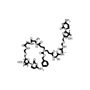 CC(C)[C@H](NC(=O)CCN(CCC(=O)N[C@H](C(=O)N[C@@H](C)C(=O)NCOC[C@H]1O[C@@H](n2ccc(N)nc2=O)C(F)(F)[C@@H]1O)C(C)C)C(=O)OCc1ccccc1)C(=O)N[C@@H](C)C(=O)NCOC[C@H]1O[C@@H](n2ccc(N)nc2=O)C(F)(F)[C@@H]1O